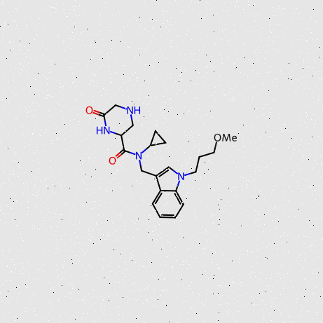 COCCCn1cc(CN(C(=O)C2CNCC(=O)N2)C2CC2)c2ccccc21